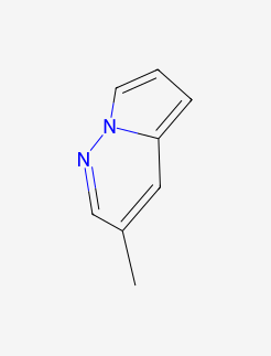 Cc1cnn2cccc2c1